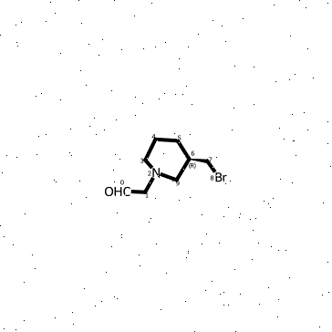 O=CCN1CCC[C@@H](CBr)C1